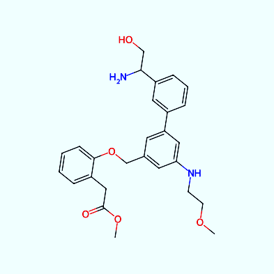 COCCNc1cc(COc2ccccc2CC(=O)OC)cc(-c2cccc(C(N)CO)c2)c1